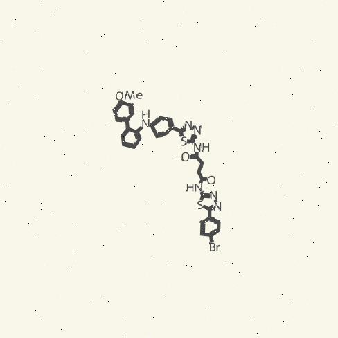 COc1ccc(-c2ccccc2Nc2ccc(-c3nnc(NC(=O)CCC(=O)Nc4nnc(-c5ccc(Br)cc5)s4)s3)cc2)cc1